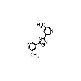 Cc1cncc(-c2noc(-c3cncc(C)c3)n2)c1